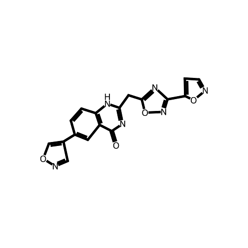 O=c1nc(Cc2nc(-c3ccno3)no2)[nH]c2ccc(-c3cnoc3)cc12